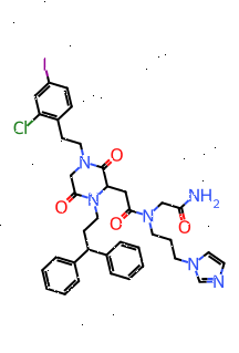 NC(=O)CN(CCCn1ccnc1)C(=O)CC1C(=O)N(CCc2ccc(I)cc2Cl)CC(=O)N1CCC(c1ccccc1)c1ccccc1